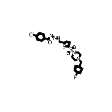 O=C(N=[N+]=NCc1ccc(S(=O)(=O)N2CCN(Cc3ccc(F)cc3)CC2)s1)c1ccc(Cl)cc1